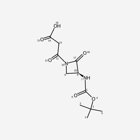 CC(C)(C)OC(=O)N[C@H]1CN(C(=O)CC(=O)O)C1=O